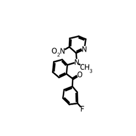 CN(c1ccccc1C(=O)c1cccc(F)c1)c1ncccc1[N+](=O)[O-]